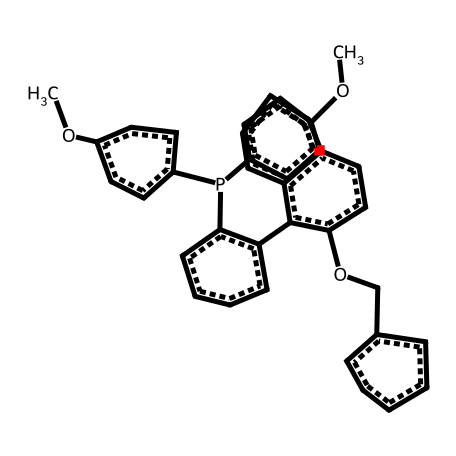 COc1ccc(P(c2ccc(OC)cc2)c2ccccc2-c2c(OCc3ccccc3)ccc3ccccc23)cc1